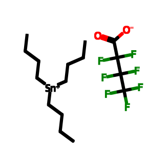 CCC[CH2][Sn+]([CH2]CCC)[CH2]CCC.O=C([O-])C(F)(F)C(F)(F)C(F)(F)F